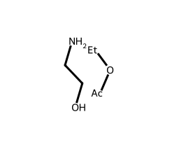 CCOC(C)=O.NCCO